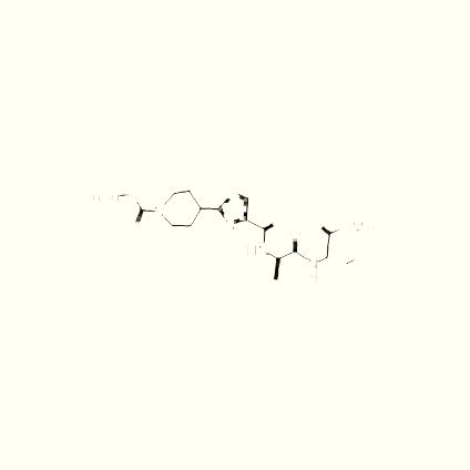 C=C(NC(=O)c1csc(C2CCN(C(=O)OCCCC)CC2)n1)C(=O)N[C@@H](CO)C(=O)OC